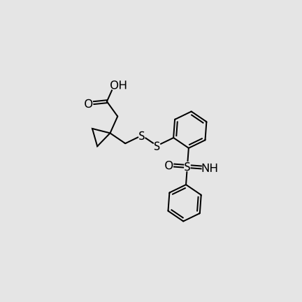 N=S(=O)(c1ccccc1)c1ccccc1SSCC1(CC(=O)O)CC1